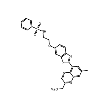 COCc1cnc2c(-c3nc4ccc(OCCNS(=O)(=O)c5ccccc5)cc4s3)cc(C)cc2n1